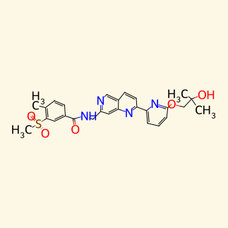 Cc1ccc(C(=O)NCc2cc3nc(-c4cccc(OCC(C)(C)O)n4)ccc3cn2)cc1S(C)(=O)=O